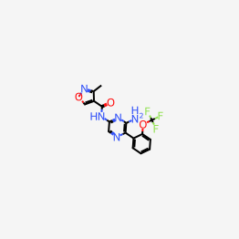 Cc1nocc1C(=O)Nc1cnc(-c2ccccc2OC(F)(F)F)c(N)n1